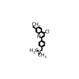 C=Cc1ccc2c(Cl)cc(-c3ccc(CN(C)C)cc3)nc2c1